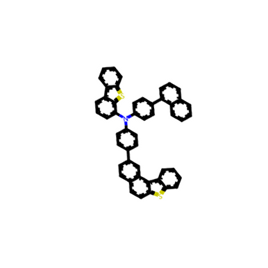 c1ccc2c(-c3ccc(N(c4ccc(-c5ccc6ccc7sc8ccccc8c7c6c5)cc4)c4cccc5c4sc4ccccc45)cc3)cccc2c1